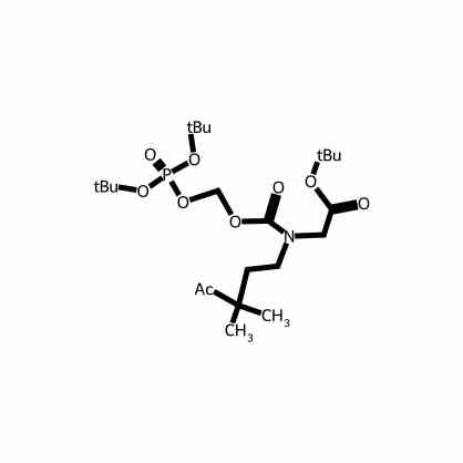 CC(=O)C(C)(C)CCN(CC(=O)OC(C)(C)C)C(=O)OCOP(=O)(OC(C)(C)C)OC(C)(C)C